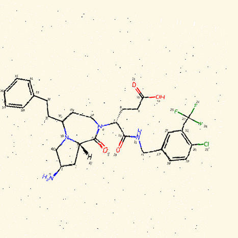 N[C@@H]1C[C@H]2C(=O)N([C@H](CCC(=O)O)C(=O)NCc3ccc(Cl)c(C(F)(F)F)c3)CCC(CCc3ccccc3)N2C1